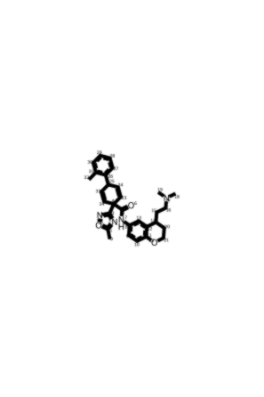 Cc1nc(C2(C(=O)Nc3ccc4c(c3)C(CCN(C)C)CCO4)C=CC(c3ccccc3C)C=C2)no1